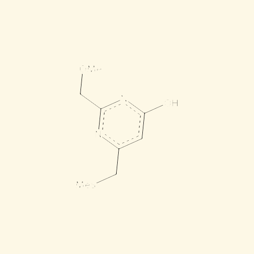 COCc1nc(O)cc(CSC)n1